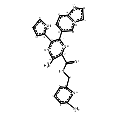 Nc1cccc(CNC(=O)c2nc(-c3ccc4nccn4c3)c(-c3ccc[nH]3)nc2N)n1